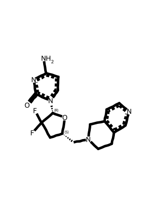 Nc1ccn([C@@H]2O[C@H](CN3CCc4cnccc4C3)CC2(F)F)c(=O)n1